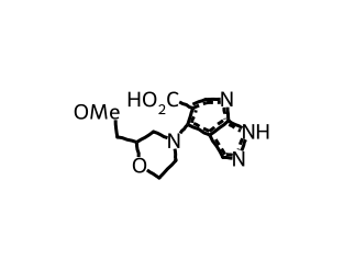 COCC1CN(c2c(C(=O)O)cnc3[nH]ncc23)CCO1